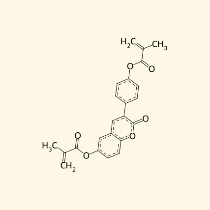 C=C(C)C(=O)Oc1ccc(-c2cc3cc(OC(=O)C(=C)C)ccc3oc2=O)cc1